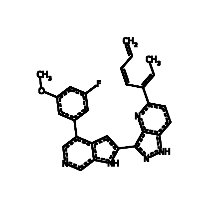 C=C/C=C\C(=C/C)c1ccc2[nH]nc(-c3cc4c(-c5cc(F)cc(OC)c5)cncc4[nH]3)c2n1